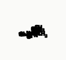 Cn1c(=O)c2c(ncn2Cc2noc(CCN3CCCC3)n2)n(C)c1=O